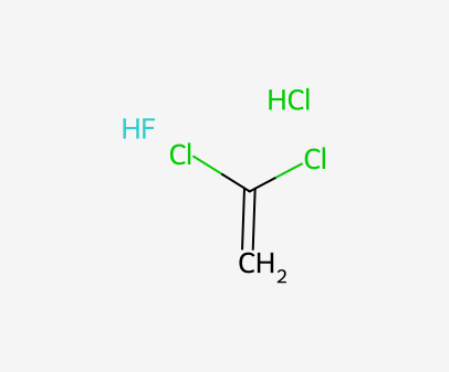 C=C(Cl)Cl.Cl.F